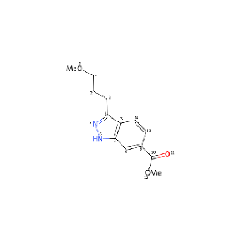 COCCCc1n[nH]c2cc(C(=O)OC)ccc12